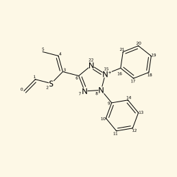 C=CS/C(=C\C)c1nn(-c2ccccc2)[n+](-c2ccccc2)n1